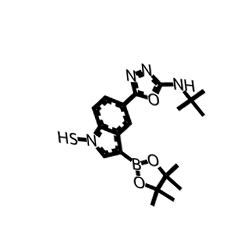 CC(C)(C)Nc1nnc(-c2ccc3c(c2)c(B2OC(C)(C)C(C)(C)O2)cn3S)o1